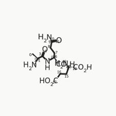 C[C@H](N)C(=O)N[C@@H](CCC(N)=O)C(=O)O.N[C@@H](CCC(=O)O)C(=O)O